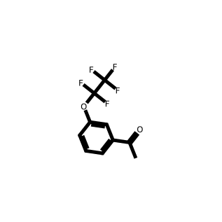 CC(=O)c1cccc(OC(F)(F)C(F)(F)F)c1